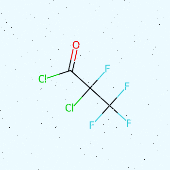 O=C(Cl)C(F)(Cl)C(F)(F)F